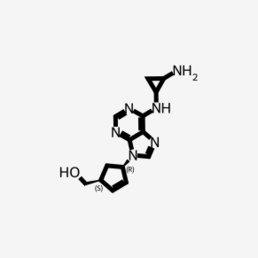 NC1CC1Nc1ncnc2c1ncn2[C@H]1C=C[C@@H](CO)C1